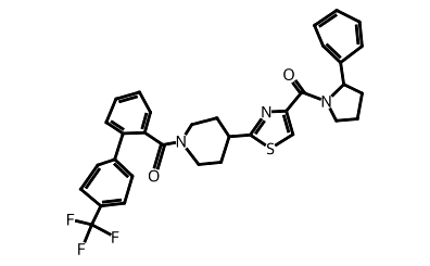 O=C(c1ccccc1-c1ccc(C(F)(F)F)cc1)N1CCC(c2nc(C(=O)N3CCCC3c3ccccc3)cs2)CC1